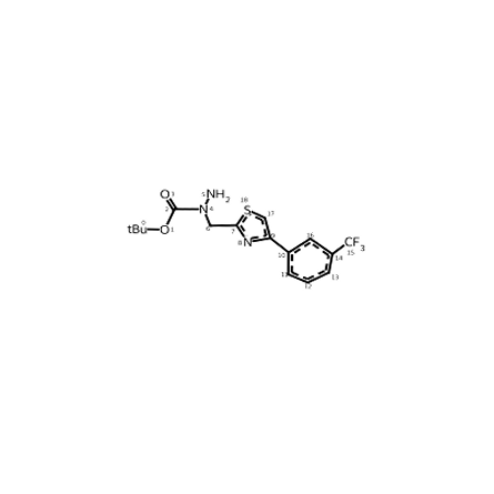 CC(C)(C)OC(=O)N(N)Cc1nc(-c2cccc(C(F)(F)F)c2)cs1